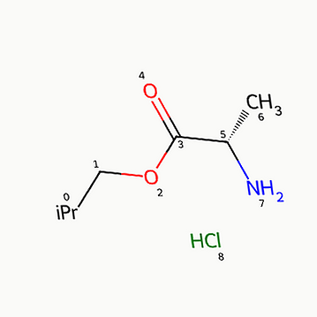 CC(C)COC(=O)[C@H](C)N.Cl